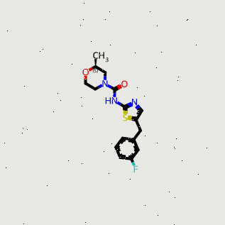 C[C@H]1CN(C(=O)Nc2ncc(Cc3cccc(F)c3)s2)CCO1